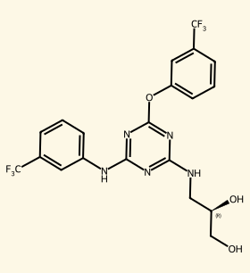 OC[C@H](O)CNc1nc(Nc2cccc(C(F)(F)F)c2)nc(Oc2cccc(C(F)(F)F)c2)n1